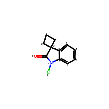 O=C1N(Cl)c2ccccc2C12CCC2